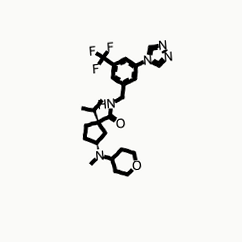 CC(C)[C@]1(C(=O)NCc2cc(-n3cnnc3)cc(C(F)(F)F)c2)CC[C@@H](N(C)C2CCOCC2)C1